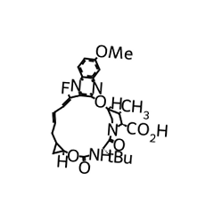 COc1ccc2nc3c(nc2c1)O[C@H]1CN(C(=O)[C@H](C(C)(C)C)NC(=O)O[C@@H]2CC2C/C=C/C=C/3F)[C@H](C(=O)O)[C@@H]1C